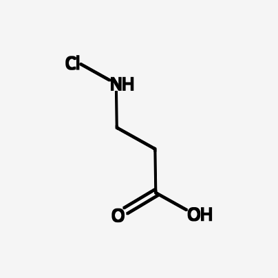 O=C(O)CCNCl